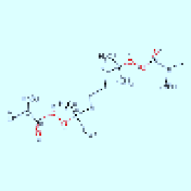 CCCCC(CC)C(=O)OOC(C)(C)CCCCC(C)(C)OOC(=O)C(CC)CCCC